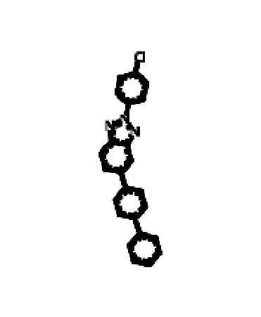 Clc1ccc(-n2nc3ccc(-c4ccc(-c5ccccc5)cc4)cc3n2)cc1